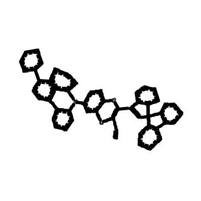 C=CC1=C(C2=CC3(c4ccccc42)c2ccccc2-c2ccccc23)Oc2ccc(N(c3ccccc3)c3ccccc3-c3ccc(-c4ccccc4)cc3)cc2O1